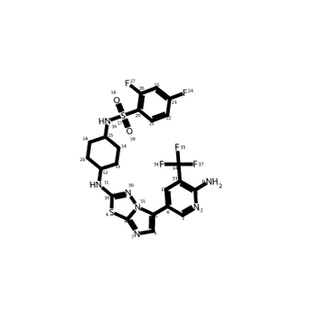 Nc1ncc(-c2cnc3sc(NC4CCC(NS(=O)(=O)c5ccc(F)cc5F)CC4)nn23)cc1C(F)(F)F